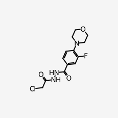 O=C(CCl)NNC(=O)c1ccc(N2CCOCC2)c(F)c1